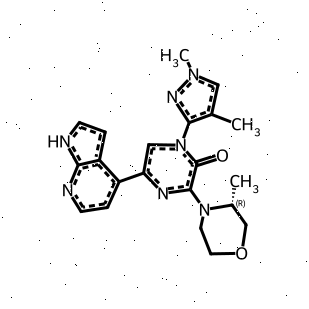 Cc1cn(C)nc1-n1cc(-c2ccnc3[nH]ccc23)nc(N2CCOC[C@H]2C)c1=O